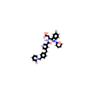 O=C(O)CC(NC(=O)c1cncc(Cc2ccc(Cn3ccccc3=O)cc2)c1)c1nn(C2CCCCO2)c2ccc(Cl)cc12